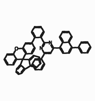 c1ccc(-c2cc(-c3ccc(-c4ccccc4)c4ccccc34)nc(-c3ccccc3-c3ccc4c(c3)Oc3ccccc3C43c4ccccc4-c4ccccc43)n2)cc1